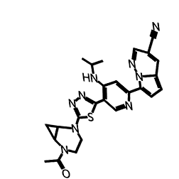 CC(=O)N1CCN(c2nnc(-c3cnc(-c4ccc5cc(C#N)cnn45)cc3NC(C)C)s2)C2CC21